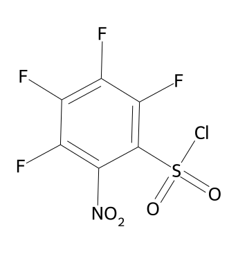 O=[N+]([O-])c1c(F)c(F)c(F)c(F)c1S(=O)(=O)Cl